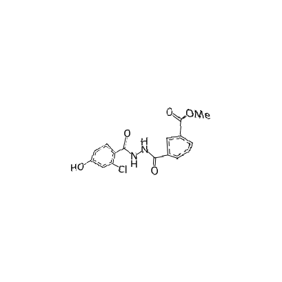 COC(=O)c1cccc(C(=O)NNC(=O)c2ccc(O)cc2Cl)c1